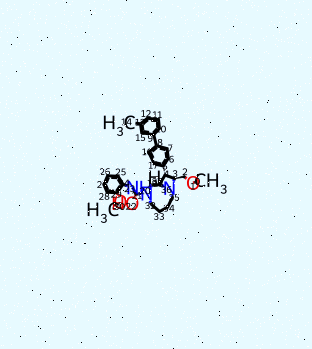 COC[C@@H]1[C@@H](c2ccc(-c3cccc(C)c3)cc2)[C@@H]2CN(C(O)Nc3ccccc3OC)CCCCN12